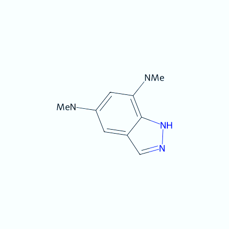 CNc1cc(NC)c2[nH]ncc2c1